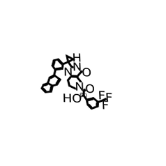 O=C([C@H](O)c1cccc(C(F)(F)F)c1)N1CCCc2nc(C3(c4cccc(-c5ccc6ccccc6c5)c4)CC3)[nH]c(=O)c2C1